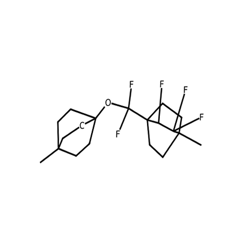 CC12CCC(OC(F)(F)C34CCC(C)(CC3)C(F)(F)C4F)(CC1)CC2